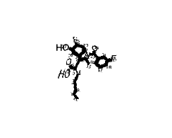 CCCCC[C@H](C(=O)O)c1c(C)n(C(=O)c2cccc(F)c2)c2cc(F)c(O)cc12